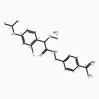 COC(C(=O)NCc1ccc(C(=N)N)cc1)c1ccc(OC(C)C)cc1F.Cl